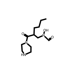 CCCCC(CN(O)C=O)C(=O)N1CCNCC1